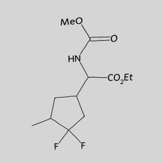 CCOC(=O)C(NC(=O)OC)C1CC(C)C(F)(F)C1